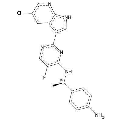 C[C@@H](Nc1nc(-c2c[nH]c3ncc(Cl)cc23)ncc1F)c1ccc(N)cc1